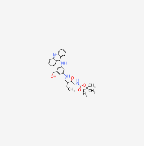 CCC(CNc1cc(CO)cc(Nc2c3ccccc3nc3ccccc23)c1)C(=O)CNC(=O)OC(C)(C)C